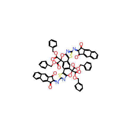 O=C(OCc1ccccc1)C1(C(=O)OCc2ccccc2)Oc2nc(N=c3c(=O)c4cc5ccccc5cc4c3=O)sc2-c2cc3c(cc21)-c1sc(N=c2c(=O)c4cc5ccccc5cc4c2=O)nc1OC3(C(=O)OCc1ccccc1)C(=O)OCc1ccccc1